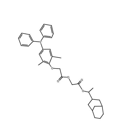 Cc1cc([S+](c2ccccc2)c2ccccc2)cc(C)c1OCC(=O)OCC(=O)OC(C)C1CC2CCCC(C2)C1